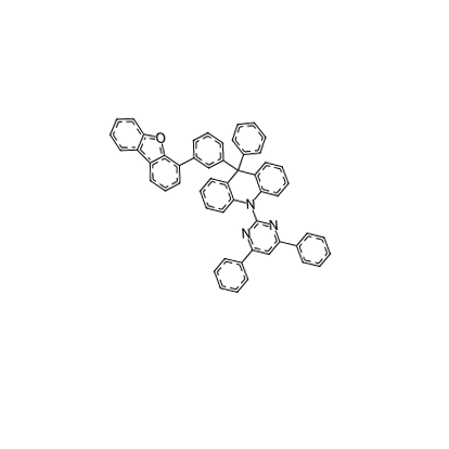 c1ccc(-c2cc(-c3ccccc3)nc(N3c4ccccc4C(c4ccccc4)(c4cccc(-c5cccc6c5oc5ccccc56)c4)c4ccccc43)n2)cc1